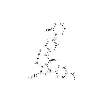 COc1ccc(-n2cc(C#N)c(N=[N+]=[N-])c2C(=O)Nc2ccc(N3CCOCC3=O)cc2)cc1